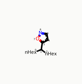 CCCCCCC(CCCCCC)c1ccno1